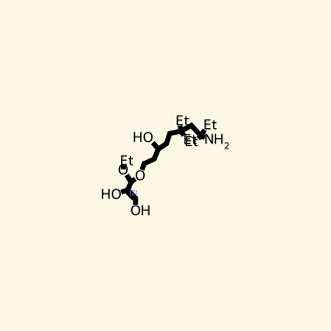 CCOC(OCCC(O)CCC(CC)(CC)CC(N)(CC)CC)/C(O)=C/O